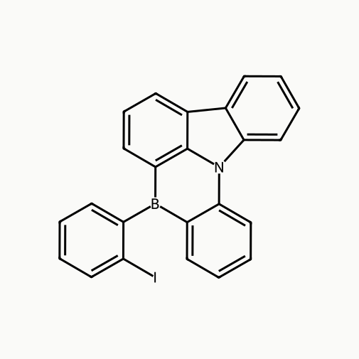 Ic1ccccc1B1c2ccccc2-n2c3ccccc3c3cccc1c32